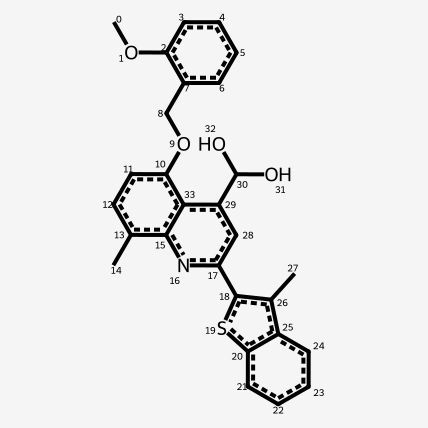 COc1ccccc1COc1ccc(C)c2nc(-c3sc4ccccc4c3C)cc(C(O)O)c12